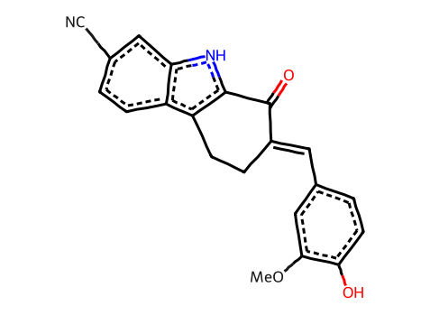 COc1cc(/C=C2\CCc3c([nH]c4cc(C#N)ccc34)C2=O)ccc1O